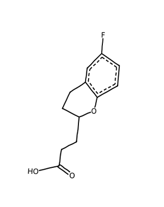 O=C(O)CCC1CCc2cc(F)ccc2O1